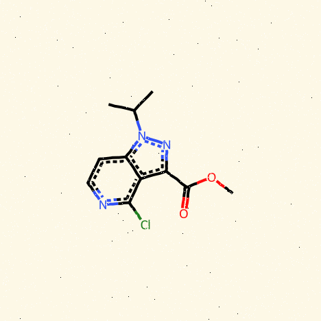 COC(=O)c1nn(C(C)C)c2ccnc(Cl)c12